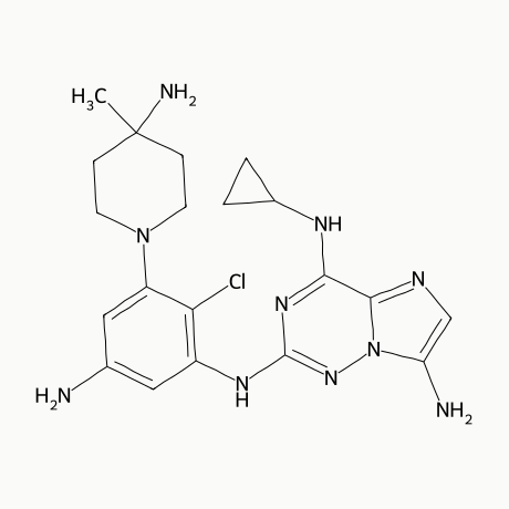 CC1(N)CCN(c2cc(N)cc(Nc3nc(NC4CC4)c4ncc(N)n4n3)c2Cl)CC1